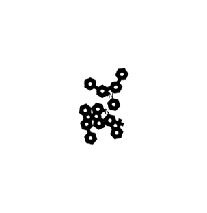 CC1(C)c2ccccc2-c2ccc(N(c3cccc(-n4c5ccc(-c6ccccc6)cc5c5cc(-c6ccccc6)ccc54)c3)c3cccc4c3-c3ccccc3C43c4ccccc4-c4ccc(-c5ccccc5)cc43)cc21